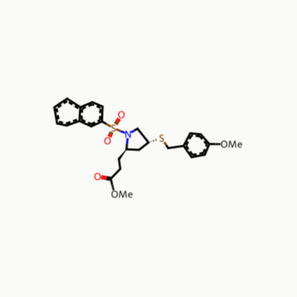 COC(=O)CC[C@@H]1C[C@@H](SCc2ccc(OC)cc2)CN1S(=O)(=O)c1ccc2ccccc2c1